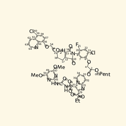 CCCCCOC(=O)COc1cc(N2C(=O)C3=C(CCCC3)C2=O)c(F)cc1Cl.CCS(=O)(=O)c1nc2ccccn2c1S(=O)(=O)NC(=O)Nc1nc(OC)cc(OC)n1.O=C(O)COc1ccc(Cl)c2cccnc12